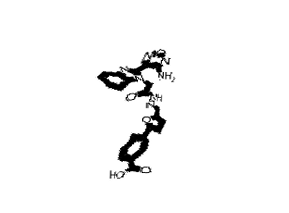 Nc1nonc1-c1nc2ccccc2n1CC(=O)N/N=C/c1ccc(-c2cccc(C(=O)O)c2)o1